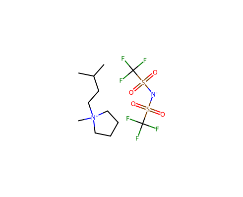 CC(C)CC[N+]1(C)CCCC1.O=S(=O)([N-]S(=O)(=O)C(F)(F)F)C(F)(F)F